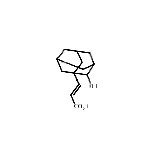 O=C(O)/C=C/C12CC3CC(CC(C3)C1O)C2